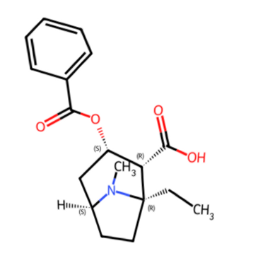 CC[C@@]12CC[C@@H](C[C@H](OC(=O)c3ccccc3)[C@@H]1C(=O)O)N2C